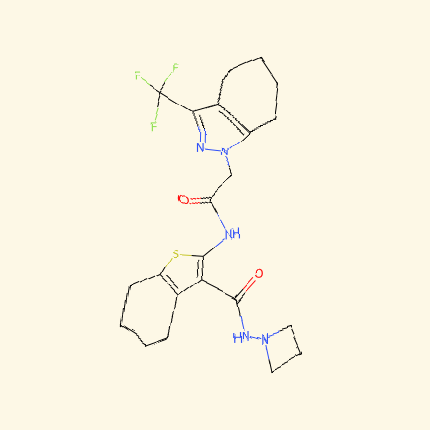 O=C(Cn1nc(C(F)(F)F)c2c1CCCC2)Nc1sc2c(c1C(=O)NN1CCC1)CCCC2